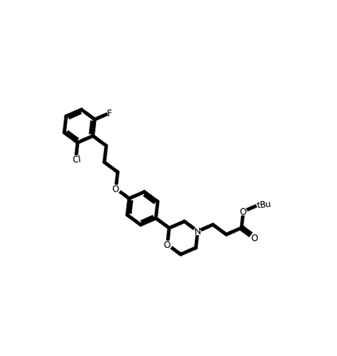 CC(C)(C)OC(=O)CCN1CCOC(c2ccc(OCCCc3c(F)cccc3Cl)cc2)C1